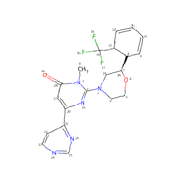 Cn1c(N2CCO[C@H](C3C=CC=CC3C(F)(F)F)C2)nc(-c2ccncn2)cc1=O